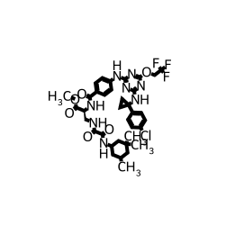 COC(=O)[C@H](CNC(=O)C(=O)NC1CC(C)CC(C)(C)C1)NC(=O)c1ccc(Nc2nc(NC3(c4ccc(Cl)cc4)CC3)nc(OCC(F)(F)F)n2)cc1